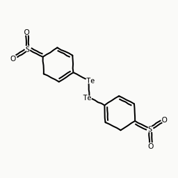 O=S(=O)=C1C=CC([Te][Te]C2=CCC(=S(=O)=O)C=C2)=CC1